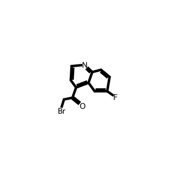 O=C(CBr)c1ccnc2ccc(F)cc12